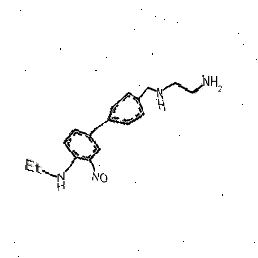 CCNc1ccc(-c2ccc(CNCCN)cc2)cc1N=O